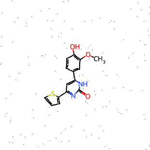 COc1cc(-c2cc(-c3cccs3)nc(=O)[nH]2)ccc1O